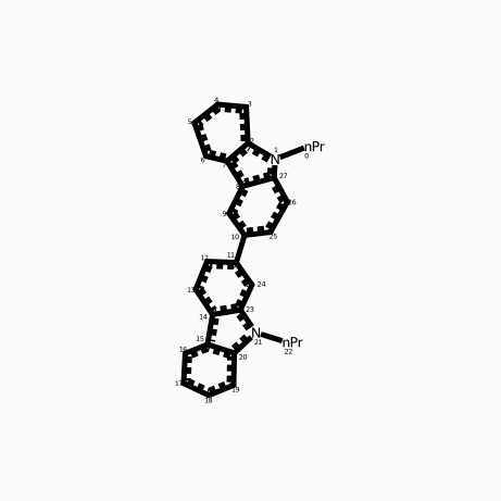 CCCn1c2ccccc2c2cc(-c3ccc4c5ccccc5n(CCC)c4c3)ccc21